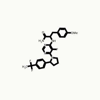 COc1ccc(CC(Nc2ncnc(N3CCCC3c3ccc(C(C)(F)F)cc3)c2F)C(N)=O)cc1